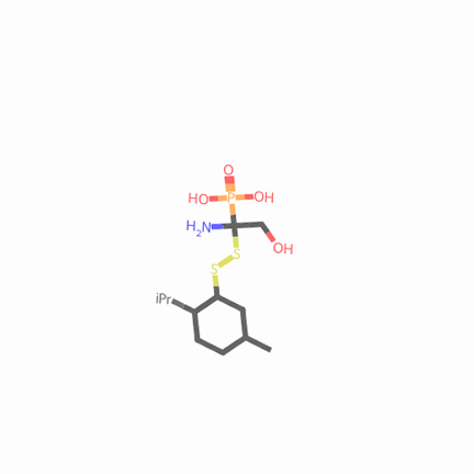 CC1CCC(C(C)C)C(SSC(N)(CO)P(=O)(O)O)C1